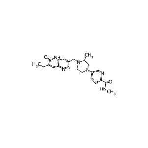 CCc1cc2nnc(CN3CCN(c4ccc(C(=O)NC)nc4)CC3C)cc2[nH]c1=O